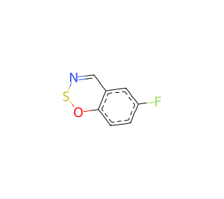 Fc1ccc2c(c1)C=NSO2